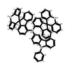 c1ccc(-n2c3ccccc3c3cc(N(c4cccc5c4-c4ccccc4C54c5ccccc5Oc5ccccc54)c4cccc5c4-c4ccccc4C54c5ccccc5Oc5ccccc54)ccc32)cc1